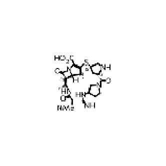 CNCC(=O)N[C@H](C)[C@H]1C(=O)N2C(C(=O)O)=C(S[C@@H]3CN[C@H](C(=O)N4CCC(NC=N)C4)C3)[C@H](C)[C@H]12